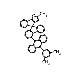 Cc1cc(C)cc(-c2c3ccccc3c(-c3cccc4c3-c3ccccc3C43c4ccccc4-c4oc(C)cc43)c3ccccc23)c1